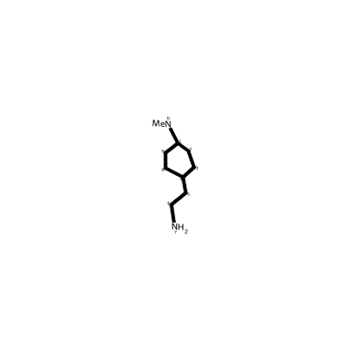 CNC1CCC(CCN)CC1